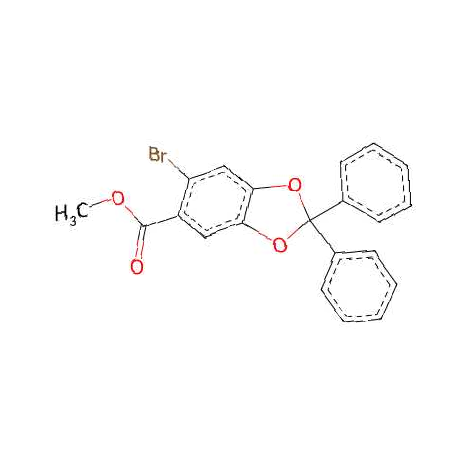 COC(=O)c1cc2c(cc1Br)OC(c1ccccc1)(c1ccccc1)O2